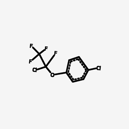 FC(F)(F)C(F)(Cl)Oc1ccc(Cl)cc1